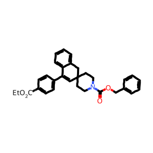 CCOC(=O)c1ccc(C2=CC3(CCN(C(=O)OCc4ccccc4)CC3)Cc3ccccc32)cc1